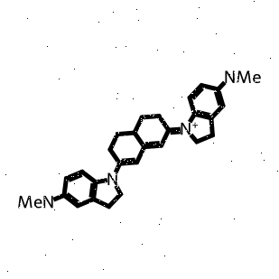 CNc1ccc2c(c1)CCN2C1=CC2=C/C(=[N+]3\CCc4cc(NC)ccc43)CCC2CC1